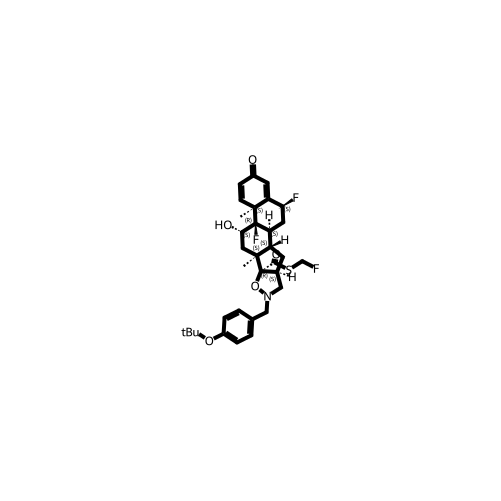 CC(C)(C)Oc1ccc(CN2C[C@@H]3C[C@H]4[C@@H]5C[C@H](F)C6=CC(=O)C=C[C@]6(C)[C@@]5(F)[C@@H](O)C[C@]4(C)[C@]3(C(=O)SCF)O2)cc1